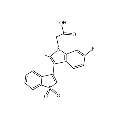 Cc1c(C2=CS(=O)(=O)c3ccccc32)c2ccc(F)cc2n1CC(=O)O